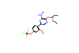 CCC[C@@H](CC)Oc1ncc(-c2ccc(OC(F)(F)F)cc2OC)nc1NC